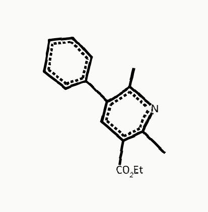 CCOC(=O)c1cc(-c2ccccc2)c(C)nc1C